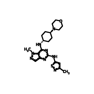 Cc1cc(Nc2nc(N[C@H]3CC[C@H](N4CCOCC4)CC3)c3c(cnn3C)n2)sn1